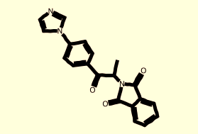 CC(C(=O)c1ccc(-n2ccnc2)cc1)N1C(=O)c2ccccc2C1=O